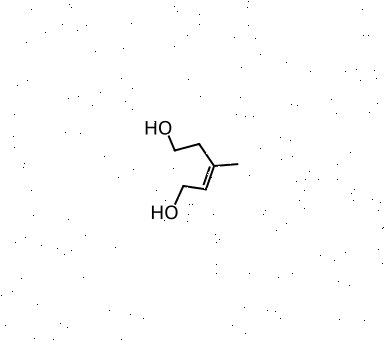 CC(=CCO)CCO